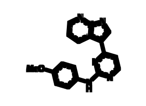 COc1ccc(Nc2nccc(-c3cnn4ncccc34)n2)cc1